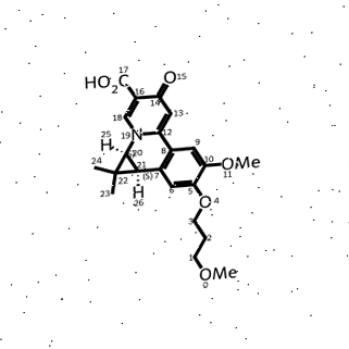 COCCCOc1cc2c(cc1OC)-c1cc(=O)c(C(=O)O)cn1[C@H]1[C@@H]2C1(C)C